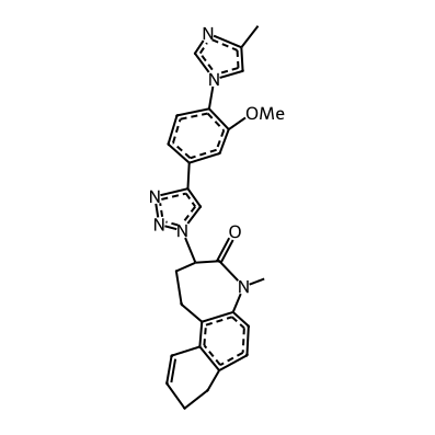 COc1cc(-c2cn(C3CCc4c(ccc5c4C=CCC5)N(C)C3=O)nn2)ccc1-n1cnc(C)c1